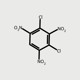 O=[N+]([O-])c1cc([N+](=O)[O-])c(Cl)c([N+](=O)[O-])c1Cl